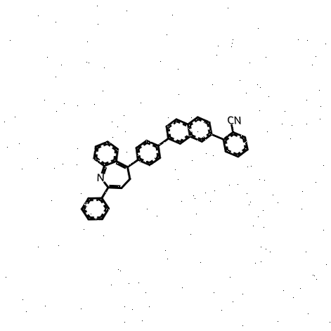 N#Cc1ccccc1-c1ccc2ccc(-c3ccc(C4=c5ccccc5=NC(c5ccccc5)=CC4)cc3)cc2c1